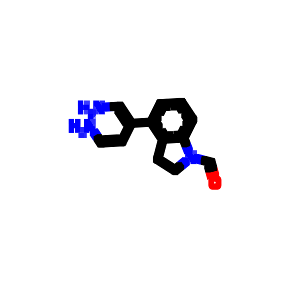 N/C=C\C(=C/N)c1cccc2c1CCN2C=O